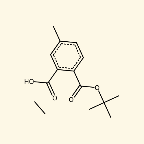 CC.Cc1ccc(C(=O)OC(C)(C)C)c(C(=O)O)c1